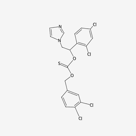 S=C(OCc1ccc(Cl)c(Cl)c1)OC(Cn1ccnc1)c1ccc(Cl)cc1Cl